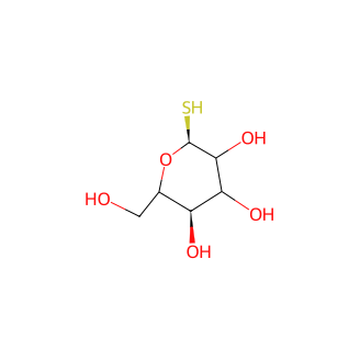 OCC1O[C@@H](S)C(O)C(O)[C@H]1O